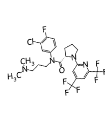 CN(C)CCCN(C(=O)[C@@H]1CCCN1c1cc(C(F)(F)F)cc(C(F)(F)F)n1)c1ccc(F)c(Cl)c1